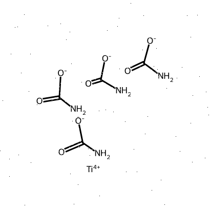 NC(=O)[O-].NC(=O)[O-].NC(=O)[O-].NC(=O)[O-].[Ti+4]